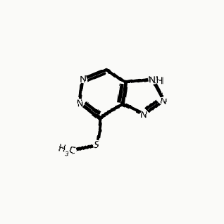 CSc1nncc2[nH]nnc12